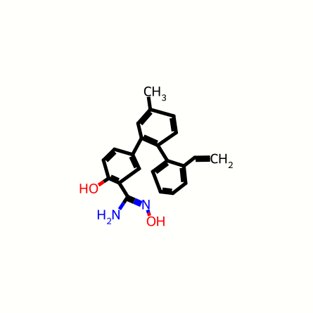 C=Cc1ccccc1-c1ccc(C)cc1-c1ccc(O)c(C(N)=NO)c1